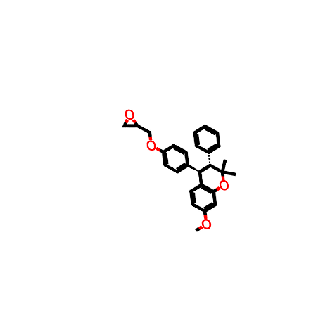 COc1ccc2c(c1)OC(C)(C)[C@@H](c1ccccc1)[C@@H]2c1ccc(OCC2CO2)cc1